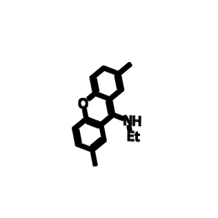 CCNC1=C2C=C(C)CC=C2Oc2ccc(C)cc21